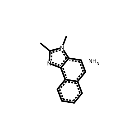 Cc1nc2c3ccccc3ccc2n1C.N